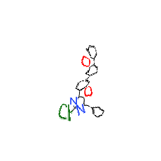 Clc1nc(-c2ccccc2)c2oc3cc(-c4ccc5c(c4)oc4ccccc45)ccc3c2n1